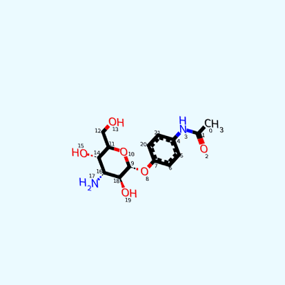 CC(=O)Nc1ccc(O[C@H]2OC(CO)[C@@H](O)[C@@H](N)[C@@H]2O)cc1